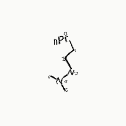 CCCCC[N]N(C)C